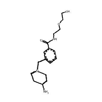 NC1CCN(Cc2cccc(C(=O)NCCOCCO)c2)CC1